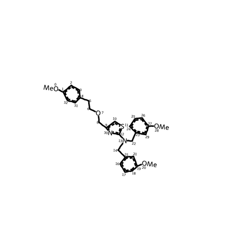 COc1ccc(CCOCc2csc(N(Cc3cccc(OC)c3)Cc3cccc(OC)c3)n2)cc1